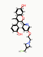 CC1=C(c2cccc(O)c2)C(c2ccc(OCCN3CC(CF)C3)cn2)Oc2cc(O)ccc21